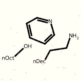 CCCCCCCCCCCCN.CCCCCCCCO.c1ccncc1